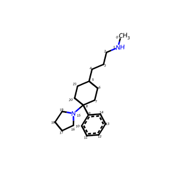 CNCCCC1CCC(c2ccccc2)(N2CCCC2)CC1